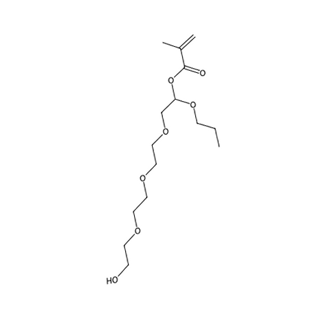 C=C(C)C(=O)OC(COCCOCCOCCO)OCCC